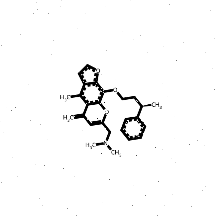 C=C1C=C(CN(C)C)Oc2c1c(C)c1ccoc1c2OCC[C@@H](C)c1ccccc1